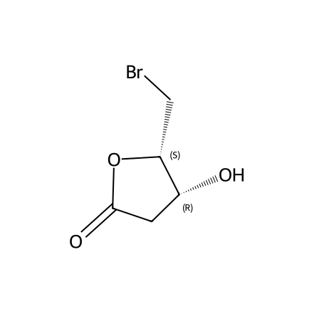 O=C1C[C@@H](O)[C@@H](CBr)O1